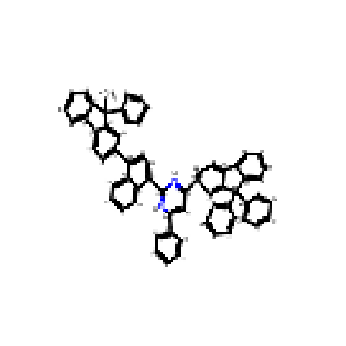 CC1(c2ccccc2)c2ccccc2-c2ccc(-c3ccc(-c4nc(-c5ccccc5)cc(-c5ccc6c(c5)C(c5ccccc5)(c5ccccc5)c5ccccc5-6)n4)c4ccccc34)cc21